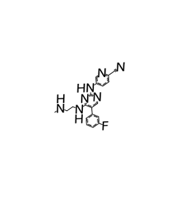 CNCCNc1nc(Nc2ccc(C#N)nc2)ncc1-c1cccc(F)c1